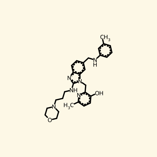 Cc1cccc(NCc2ccc3nc(NCCCN4CCOCC4)n(Cc4nc(C)ccc4O)c3c2)c1